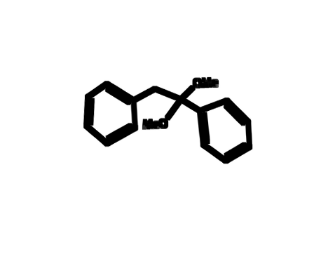 COC(Cc1ccccc1)(OC)c1ccccc1